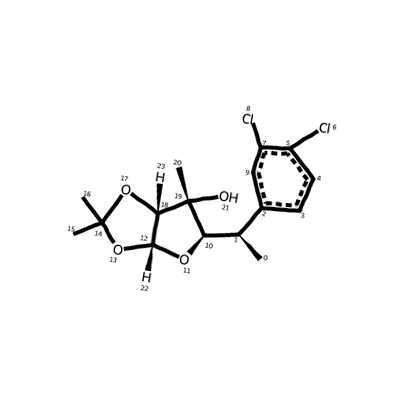 C[C@H](c1ccc(Cl)c(Cl)c1)[C@H]1O[C@@H]2OC(C)(C)O[C@@H]2[C@]1(C)O